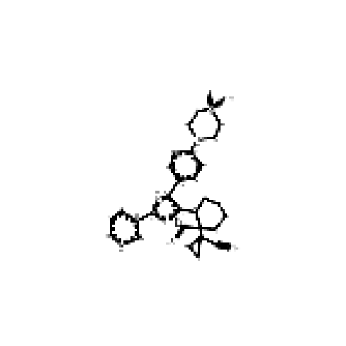 N#CC1(C2(C(N)=O)CCCCC2c2oc(-c3cccnc3)nc2-c2ccc(N3CCS(=O)(=O)CC3)cc2)CC1